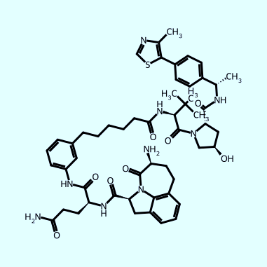 Cc1ncsc1-c1ccc([C@H](C)NC(=O)[C@@H]2C[C@@H](O)CN2C(=O)[C@@H](NC(=O)CCCCCc2cccc(NC(=O)[C@H](CCC(N)=O)NC(=O)[C@@H]3Cc4cccc5c4N3C(=O)[C@@H](N)CC5)c2)C(C)(C)C)cc1